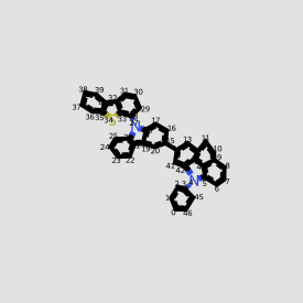 c1ccc(-n2c3cccc4ccc5cc(-c6ccc7c(c6)c6ccccc6n7-c6cccc7c6sc6ccccc67)cc2c5c43)cc1